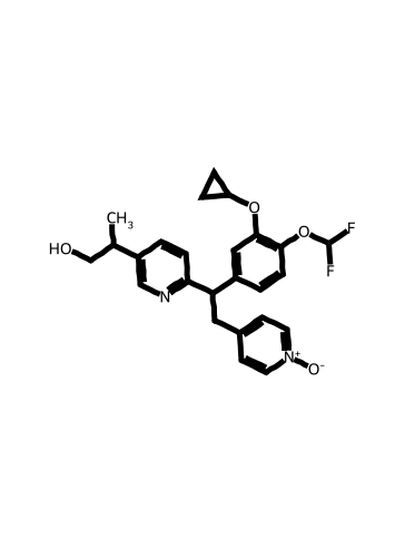 CC(CO)c1ccc(C(Cc2cc[n+]([O-])cc2)c2ccc(OC(F)F)c(OC3CC3)c2)nc1